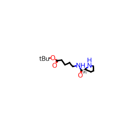 CC(C)(C)OC(=O)CCCCNC(=O)[C@H]1CCCN1